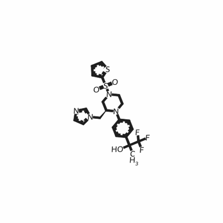 CC(O)(c1ccc(N2CCN(S(=O)(=O)c3cccs3)C[C@@H]2Cn2ccnc2)cc1)C(F)(F)F